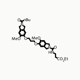 CCCCC(=O)N1Cc2cc(OC)c(OCCCOc3cc4c(cc3OC)CN(C(=O)NCCC(=O)OCC)C4)cc2C1